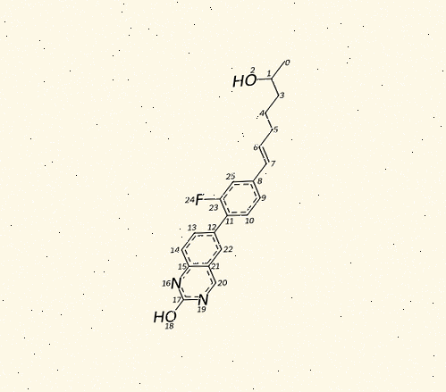 CC(O)CCC/C=C/c1ccc(-c2ccc3nc(O)ncc3c2)c(F)c1